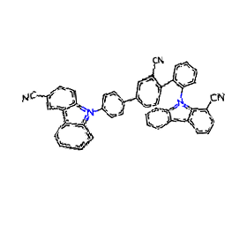 N#Cc1ccc2c(c1)c1ccccc1n2-c1ccc(-c2ccc(-c3ccccc3-n3c4ccccc4c4cccc(C#N)c43)c(C#N)c2)cc1